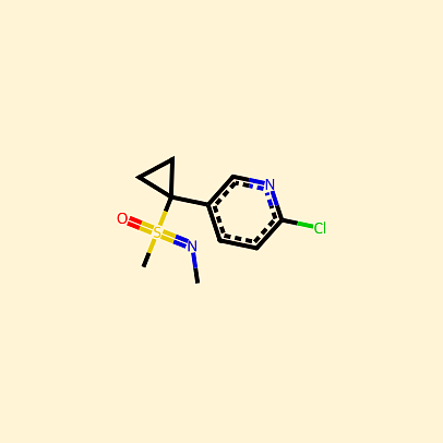 CN=S(C)(=O)C1(c2ccc(Cl)nc2)CC1